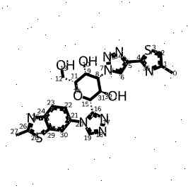 Cc1csc(-c2cn([C@H]3[C@@H](O)[C@@H](CO)O[C@@H](c4nncn4-c4ccc5nc(C)sc5c4)[C@@H]3O)nn2)n1